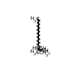 CCCCCCCCCCCCCCCCNC(C)C(C)(C)N